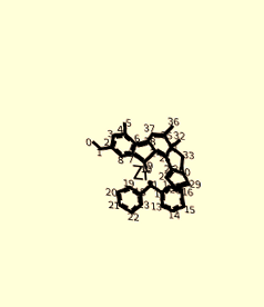 CCc1cc(C)c2c(c1)=[C]([Zr]=[C](c1ccccc1)c1ccccc1)C1=C(C3=CC=CC3)C(C)(CC)C(C)=CC=21